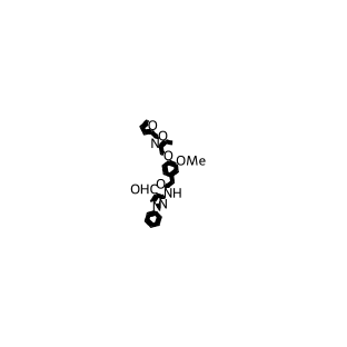 COc1cc(CC(=O)Nc2nn(-c3ccccc3)cc2C=O)ccc1OCc1nc(-c2ccco2)oc1C